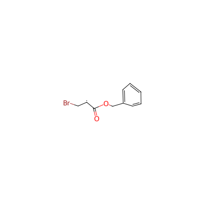 O=C([CH]CBr)OCc1ccccc1